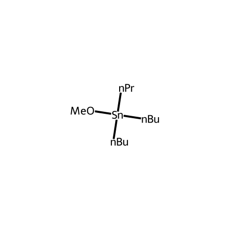 CCC[CH2][Sn]([CH2]CC)([CH2]CCC)[O]C